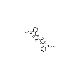 CCCOc1ccccc1C(=O)OC(=O)C(=O)OC(=O)c1ccccc1OCCC